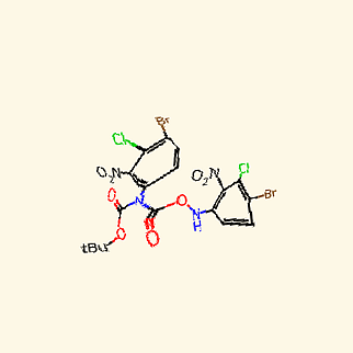 CC(C)(C)OC(=O)N(C(=O)ONc1ccc(Br)c(Cl)c1[N+](=O)[O-])c1ccc(Br)c(Cl)c1[N+](=O)[O-]